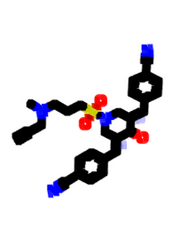 C#CCN(C)CCCS(=O)(=O)N1C/C(=C\c2ccc(C#N)cc2)C(=O)/C(=C/c2ccc(C#N)cc2)C1